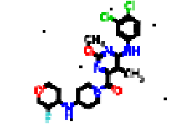 COc1nc(Nc2ccc(Cl)c(Cl)c2)c(C)c(C(=O)N2CCC(NC3CCOCC3F)CC2)n1